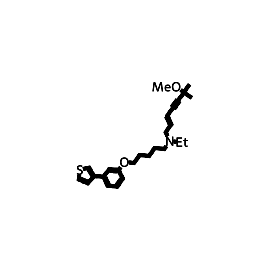 CCN(CC=CC#CC(C)(C)OC)CCCCCOc1cccc(-c2ccsc2)c1